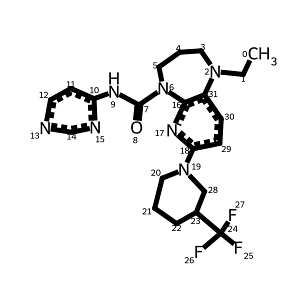 CCN1CCCN(C(=O)Nc2ccncn2)c2nc(N3CCCC(C(F)(F)F)C3)ccc21